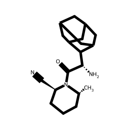 C[C@@H]1CCC[C@@H](C#N)N1C(=O)[C@@H](N)C1C2CC3CC(C2)CC1C3